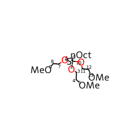 CCCCCCCC[Si](OCCOC)(OCCOC)OCCOC